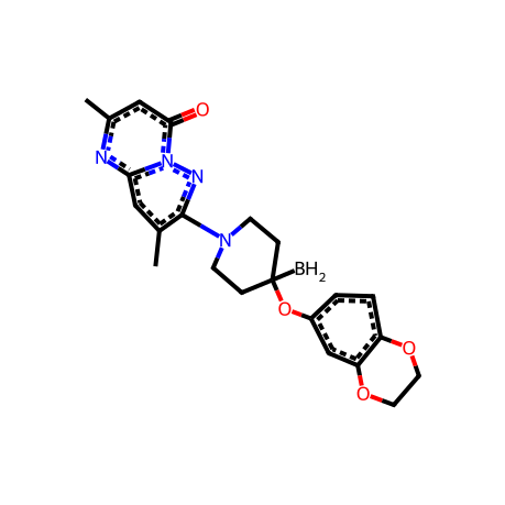 BC1(Oc2ccc3c(c2)OCCO3)CCN(c2nn3c(=O)cc(C)nc3cc2C)CC1